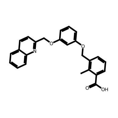 Cc1c(COc2cccc(OCc3ccc4ccccc4n3)c2)cccc1C(=O)O